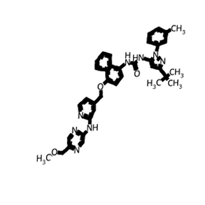 COCc1cnc(Nc2cc(COc3ccc(NC(=O)Nc4cc(C(C)(C)C)nn4-c4cccc(C)c4)c4ccccc34)ccn2)cn1